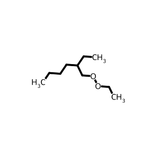 CCCCC(CC)COOCC